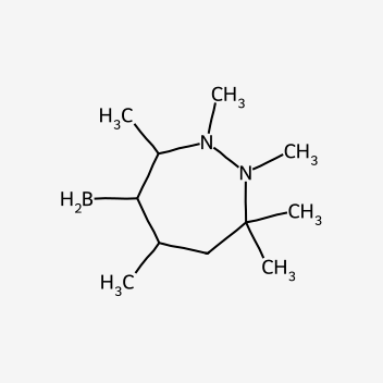 BC1C(C)CC(C)(C)N(C)N(C)C1C